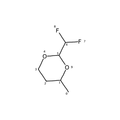 CC1CCOC(C(F)F)O1